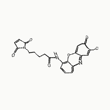 O=C(CCCCN1C(=O)C=CC1=O)Nc1cccc2nc3cc(Cl)c(=O)cc-3oc12